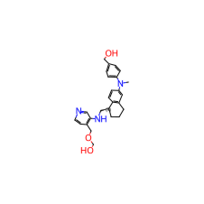 CN(c1ccc(CO)cc1)c1ccc2c(c1)CCC[C@H]2CNc1cnccc1COCO